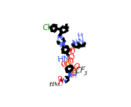 CC1(C)CCC(CN2CCN(c3ccc(C(=O)NS(=O)(=O)c4ccc(NC5CCN(C(=O)OC(C)(C)C)C5)c(S(=O)(=O)C(F)(F)F)c4)c(Oc4cnc5[nH]ccc5c4)c3)CC2)=C(c2ccc(Cl)cc2)C1